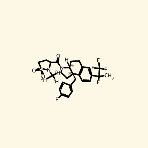 [2H]C([2H])([2H])N1C(C(=O)N2CC[C@@]3(Cc4ccc(F)cc4)c4ccc(C(C)(F)C(F)(F)F)cc4CC[C@@H]23)CCS1(=O)=O